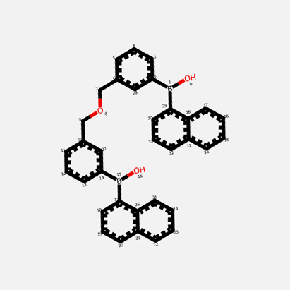 OB(c1cccc(COCc2cccc(B(O)c3cccc4ccccc34)c2)c1)c1cccc2ccccc12